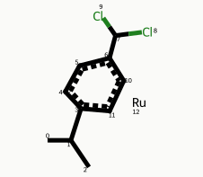 CC(C)c1ccc(C(Cl)Cl)cc1.[Ru]